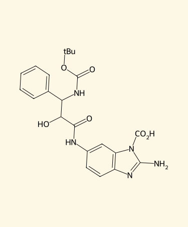 CC(C)(C)OC(=O)NC(c1ccccc1)C(O)C(=O)Nc1ccc2nc(N)n(C(=O)O)c2c1